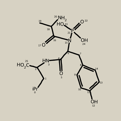 CC(C)CC(NC(=O)C(Cc1ccc(O)cc1)N(C(=O)C(C)N)P(=O)(O)O)C(=O)O